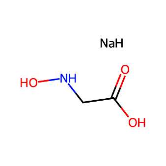 O=C(O)CNO.[NaH]